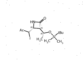 CC(=O)C(I)[C@@H]1NC(=O)[C@@H]1[C@@H](C)O[Si](C)(C)C(C)(C)C